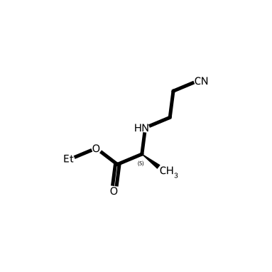 CCOC(=O)[C@H](C)NCCC#N